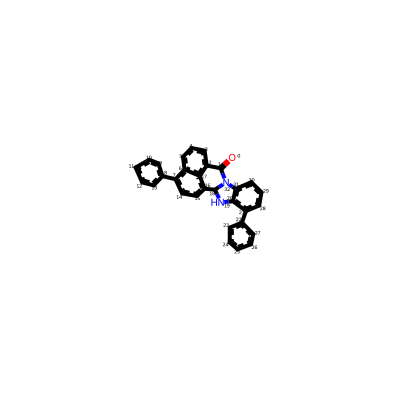 O=C1c2cccc3c(-c4ccccc4)ccc(c23)C2Nc3c(-c4ccccc4)cccc3N12